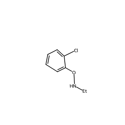 CCNOc1ccccc1Cl